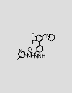 Cc1cncc(NC(=O)c2n[nH]c3ccc(-c4cc(CN5CCCCC5)cc(F)c4F)cc23)c1